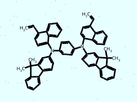 C=Cc1ccc(N(c2ccc(N(c3ccc4c(c3)C(C)(C)c3ccccc3-4)c3ccc(C=C)c4ccccc34)cc2)c2ccc3c(c2)C(C)(C)c2ccccc2-3)c2ccccc12